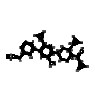 C=Cc1cccc(-c2cc(C#N)c(N3CCN(C(=O)C4CC4)[C@H](C4CC4)C3)nc2C2CC2)n1